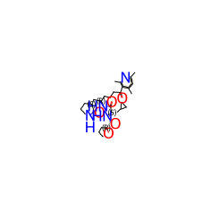 Cc1cc(C)c(C(=O)CCC[C@H](C[C@@H]2CCCNC2=O)NC(=O)[C@H](CC2CC2)NC(=O)[C@H]2CCCO2)c(C)n1